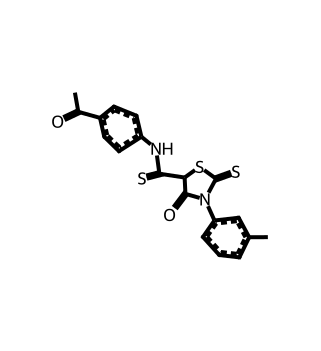 CC(=O)c1ccc(NC(=S)C2SC(=S)N(c3cccc(C)c3)C2=O)cc1